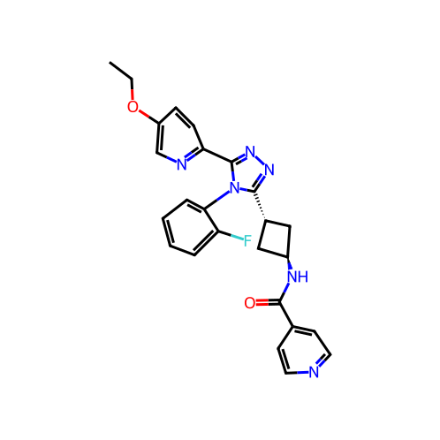 CCOc1ccc(-c2nnc([C@H]3C[C@H](NC(=O)c4ccncc4)C3)n2-c2ccccc2F)nc1